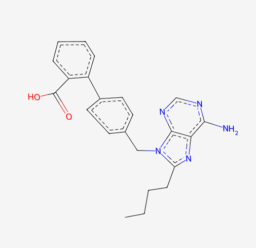 CCCCc1nc2c(N)ncnc2n1Cc1ccc(-c2ccccc2C(=O)O)cc1